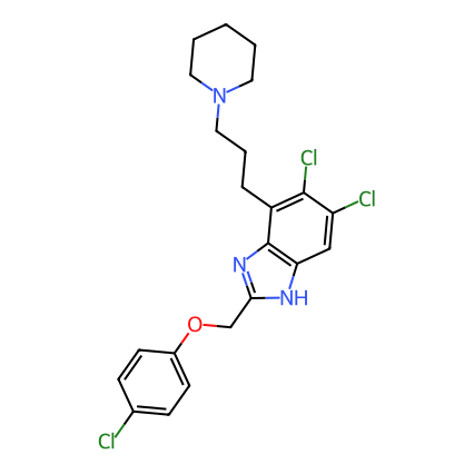 Clc1ccc(OCc2nc3c(CCCN4CCCCC4)c(Cl)c(Cl)cc3[nH]2)cc1